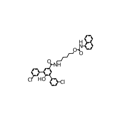 O=C(Nc1cccc2ccccc12)OCCCCCCNC(=O)c1cc(-c2cccc(Cl)c2)c(O)c(-c2cccc(Cl)c2)c1